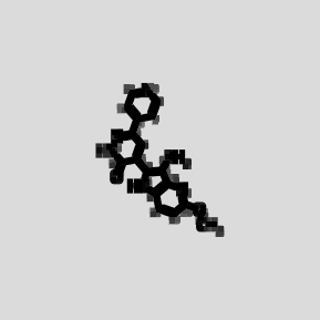 Bc1c(-c2cc(-c3ccncc3)n[nH]c2=O)[nH]c2ccc(OC)nc12